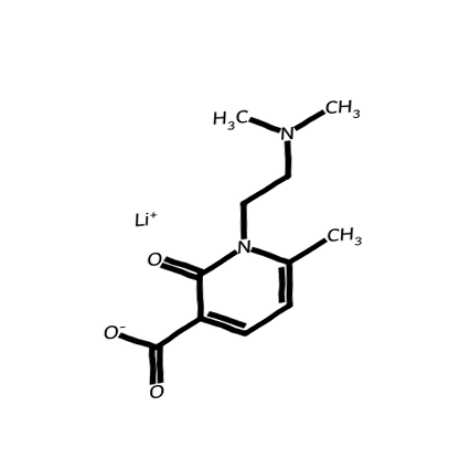 Cc1ccc(C(=O)[O-])c(=O)n1CCN(C)C.[Li+]